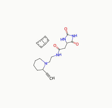 C#CC1CCCCN1CCNC(=O)CC1NC(=O)NC1=O.c1cc2ccc1-2